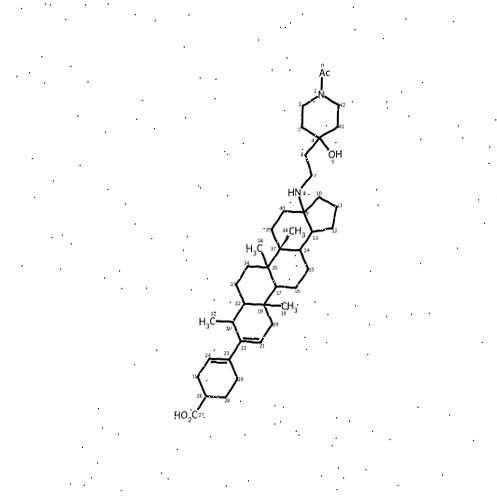 CC(=O)N1CCC(O)(CCNC23CCCC2C2CCC4C5(C)CC=C(C6=CCC(C(=O)O)CC6)C(C)C5CCC4(C)[C@]2(C)CC3)CC1